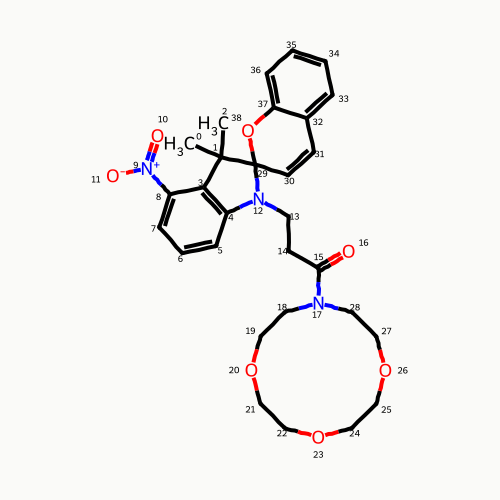 CC1(C)c2c(cccc2[N+](=O)[O-])N(CCC(=O)N2CCOCCOCCOCC2)C12C=Cc1ccccc1O2